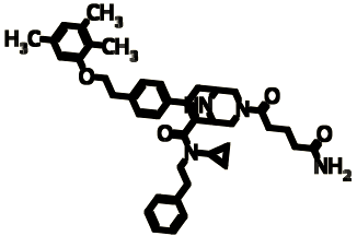 Cc1cc(C)c(C)c(OCCc2ccc(C3=C(C(=O)N(CCc4ccccc4)C4CC4)C4CN(C(=O)CCCC(N)=O)CC(C3)N4)cc2)c1